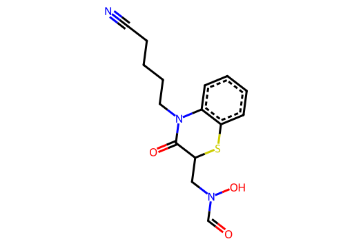 N#CCCCCN1C(=O)C(CN(O)C=O)Sc2ccccc21